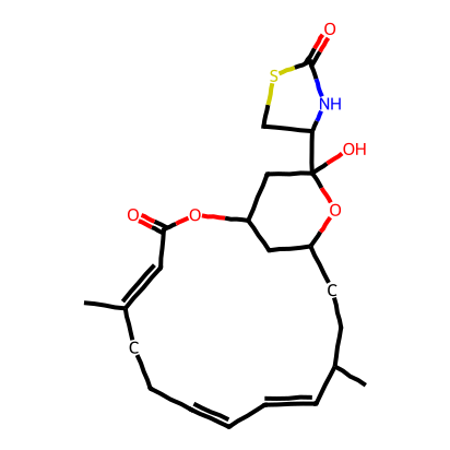 C/C1=C\C(=O)OC2CC(CCC(C)/C=C/C=C\CC1)OC(O)(C1CSC(=O)N1)C2